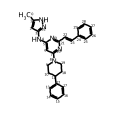 Cc1cc(Nc2cc(N3CCC(c4ccccc4)CC3)nc(C=Cc3ccccc3)n2)n[nH]1